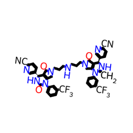 C=C1N[C@H](c2ccc(C#N)nc2)C2=C(CN(CCCNCCCN3CC4=C(C3=O)[C@@H](c3ccc(C#N)nc3)NC(=O)N4c3cccc(C(F)(F)F)c3)C2=O)N1c1cccc(C(F)(F)F)c1